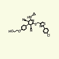 N#Cc1c(NC2CC2)nc(SCc2csc(-c3ccc(Cl)cc3)n2)c(C#N)c1-c1ccc(OCCO)cc1